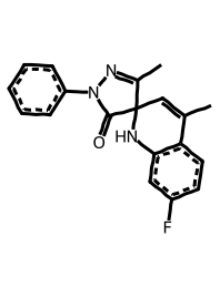 CC1=CC2(Nc3cc(F)ccc31)C(=O)N(c1ccccc1)N=C2C